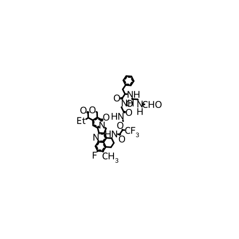 CCC1C(=O)OCc2c1cc1n(c2=O)Cc2c-1nc1cc(F)c(C)c3c1c2C(NC(=O)C(OCNC(=O)CNC(=O)C(Cc1ccccc1)NC(=O)CNC=O)C(F)(F)F)CC3